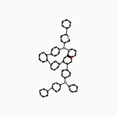 c1cccc(N(c2ccc(-c3ccccc3)cc2)c2ccc(-c3ccccc3-c3cccc(-c4ccccc4-c4ccc(N(c5ccccc5)c5ccc(-c6ccccc6)cc5)cc4)c3)cc2)c#1